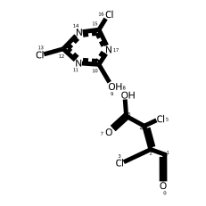 O=CC(Cl)=C(Cl)C(=O)O.Oc1nc(Cl)nc(Cl)n1